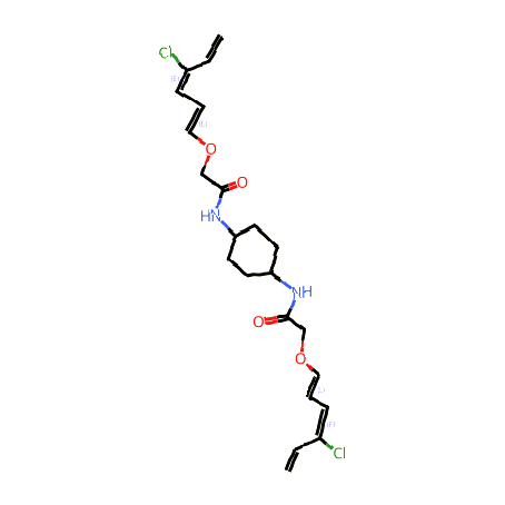 C=C/C(Cl)=C\C=C\OCC(=O)NC1CCC(NC(=O)CO/C=C/C=C(/Cl)C=C)CC1